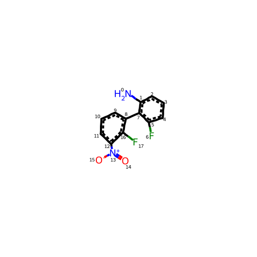 Nc1cccc(F)c1-c1cccc([N+](=O)[O-])c1F